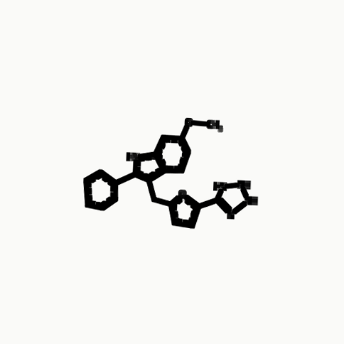 COc1ccc2c(Cc3ccc(C4=NNNN4)o3)c(-c3ccccc3)[nH]c2c1